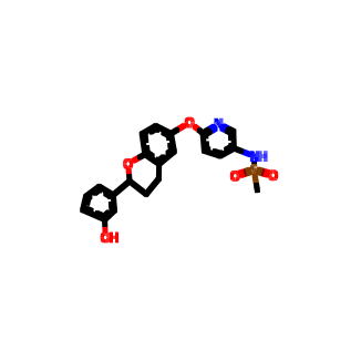 CS(=O)(=O)Nc1ccc(Oc2ccc3c(c2)CCC(c2cccc(O)c2)O3)nc1